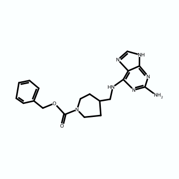 Nc1nc(NCC2CCN(C(=O)OCc3ccccc3)CC2)c2nc[nH]c2n1